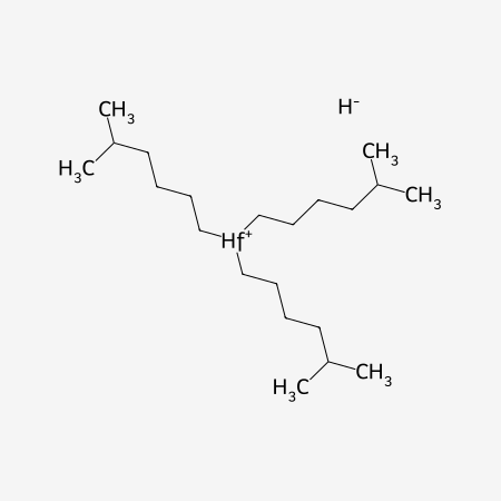 CC(C)CCC[CH2][Hf+]([CH2]CCCC(C)C)[CH2]CCCC(C)C.[H-]